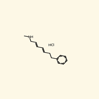 CNCC=CC=CCCc1ccccc1.Cl